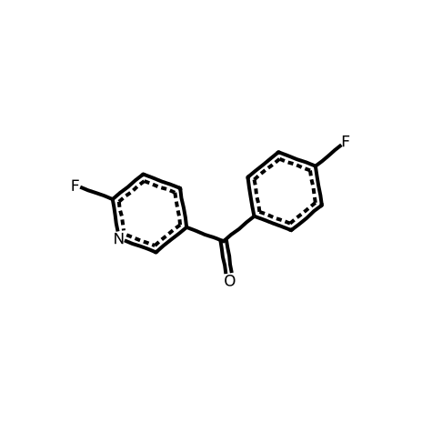 O=C(c1ccc(F)cc1)c1ccc(F)nc1